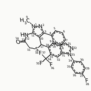 Cn1nc(-c2ccccn2)c2c1NC(=O)CSC2c1cc2cnn(-c3ccc(F)cc3)c2cc1C(F)(F)F